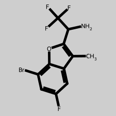 Cc1c(C(N)C(F)(F)F)oc2c(Br)cc(F)cc12